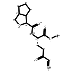 CC(C)OC(=O)[C@H](CCC(=O)C=N)NC(=O)C1OCC2CCCC21